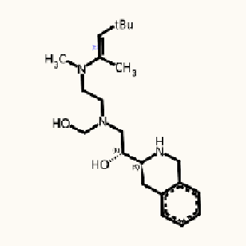 C/C(=C\C(C)(C)C)N(C)CCN(CO)C[C@@H](O)[C@@H]1Cc2ccccc2CN1